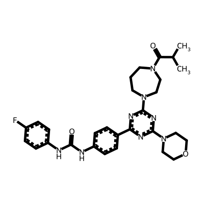 CC(C)C(=O)N1CCCN(c2nc(-c3ccc(NC(=O)Nc4ccc(F)cc4)cc3)nc(N3CCOCC3)n2)CC1